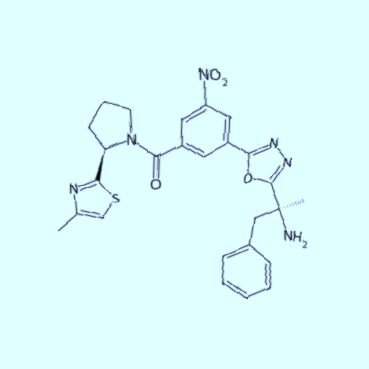 Cc1csc([C@H]2CCCN2C(=O)c2cc(-c3nnc([C@@](C)(N)Cc4ccccc4)o3)cc([N+](=O)[O-])c2)n1